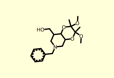 COC1(C)OC2CN(Cc3ccccc3)CC(CO)C2OC1(C)OC